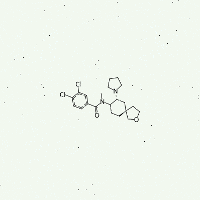 CN(C(=O)c1ccc(Cl)c(Cl)c1)C1CC[C@]2(CCOC2)C[C@H]1N1CCCC1